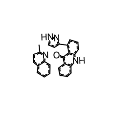 Cc1ccc2ccccc2n1.O=c1c2ccccc2[nH]c2cccc(-c3cc[nH]n3)c12